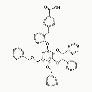 O=C(O)c1ccc(Cc2ccccc2O[C@@H]2O[C@H](COCc3ccccc3)[C@@H](OCc3ccccc3)[C@H](OCc3ccccc3)[C@H]2OCc2ccccc2)cc1